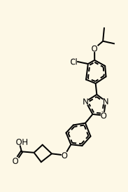 CC(C)Oc1ccc(-c2noc(-c3ccc(OC4CC(C(=O)O)C4)cc3)n2)cc1Cl